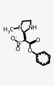 CN1CCN/C1=C(\C(=O)Oc1ccccc1)[N+](=O)[O-]